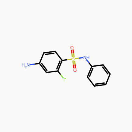 Nc1ccc(S(=O)(=O)Nc2ccccc2)c(F)c1